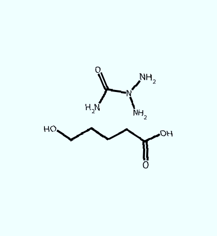 NC(=O)N(N)N.O=C(O)CCCCO